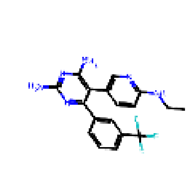 CCNc1ccc(-c2c(N)nc(N)nc2-c2cccc(C(F)(F)F)c2)cn1